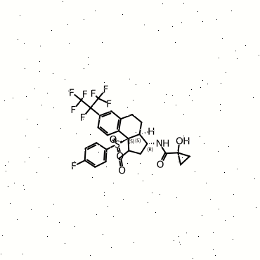 O=CC1C[C@@H](NC(=O)C2(O)CC2)[C@@H]2CCc3cc(C(F)(C(F)(F)F)C(F)(F)F)ccc3[C@@]12S(=O)(=O)c1ccc(F)cc1